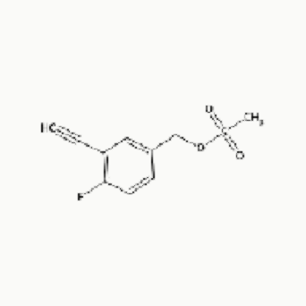 C#Cc1cc(COS(C)(=O)=O)ccc1F